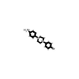 Nc1ccc(N2CCN(c3ccc(Br)cc3)CC2)cc1